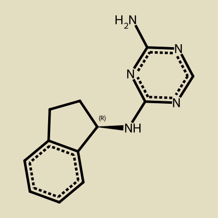 Nc1ncnc(N[C@@H]2CCc3ccccc32)n1